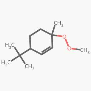 COOC1(C)C=CC(C(C)(C)C)CC1